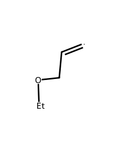 [CH]=CCOCC